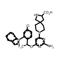 Nc1nc(O[C@H](c2ccc(Cl)cc2-n2ncc3ccccc32)C(F)(F)F)cc(N2CCC3(CC2)CNC(C(=O)O)C3)n1